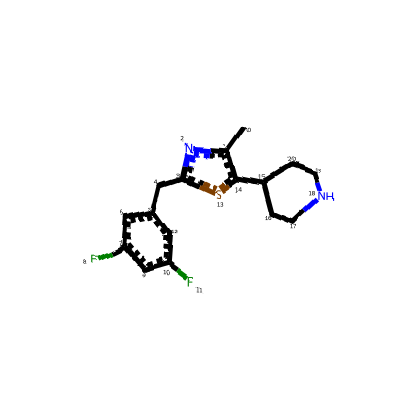 Cc1nc(Cc2cc(F)cc(F)c2)sc1C1CCNCC1